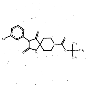 CC(C)(C)OC(=O)N1CCC2(CC1)NC(=O)N(c1cccc(Cl)c1)C2=O